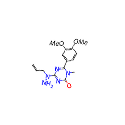 C=CCN(N)c1nc(-c2ccc(OC)c(OC)c2)n(C)c(=O)n1